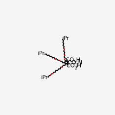 CC(C)CCCCCCCCCCCCCCCc1c(CCCCCCCCCCCCCCCC(C)C)c(C(=O)O)c(C(=O)O)c(C(=O)O)c1CCCCCCCCCCCCCCCC(C)C